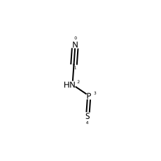 N#CNP=S